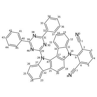 N#Cc1cccc(C#N)c1-n1c2ccccc2c2c1ccc1c3ccccc3n(-c3nc(-c4ccccc4)nc(-c4ccccc4)n3)c12